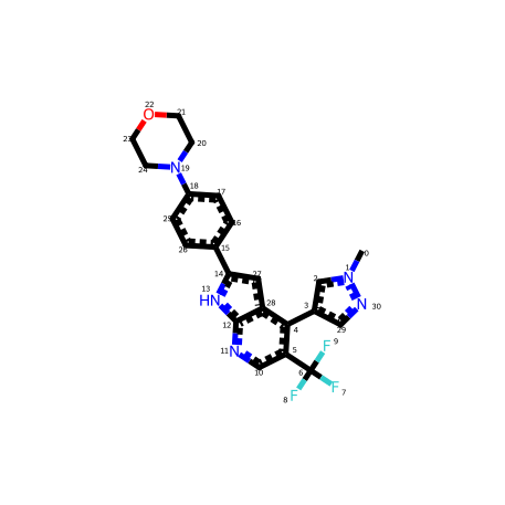 Cn1cc(-c2c(C(F)(F)F)cnc3[nH]c(-c4ccc(N5CCOCC5)cc4)cc23)cn1